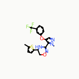 Cc1ccc(C2CON=C(c3c(Oc4cccc(C(F)(F)F)c4)cnn3C)N2)s1